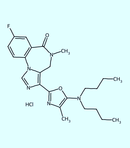 CCCCN(CCCC)c1oc(-c2ncn3c2CN(C)C(=O)c2cc(F)ccc2-3)nc1C.Cl